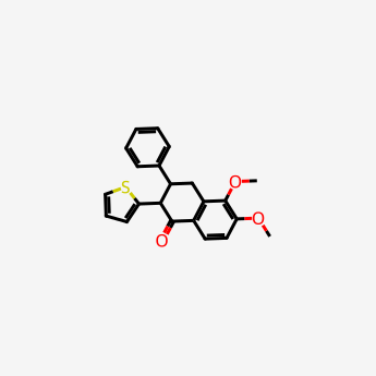 COc1ccc2c(c1OC)CC(c1ccccc1)C(c1cccs1)C2=O